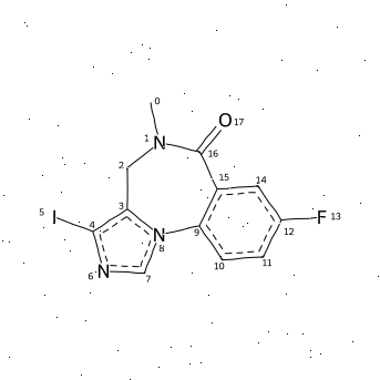 CN1Cc2c(I)ncn2-c2ccc(F)cc2C1=O